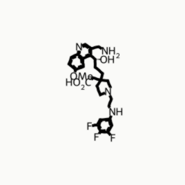 COc1ccc2ncc(CN)c([C@H](O)CCC3(CC(=O)O)CCN(CCNc4cc(F)c(F)c(F)c4)CC3)c2c1